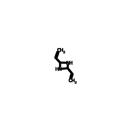 C=CC1NC(C=C)N1